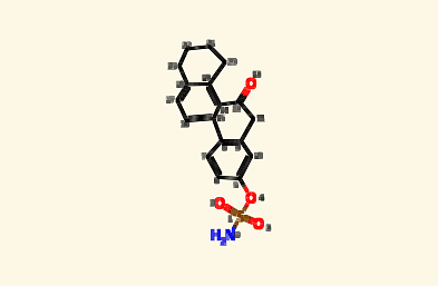 NS(=O)(=O)Oc1ccc2c(c1)CC(=O)c1c-2ccc2c1CCCC2